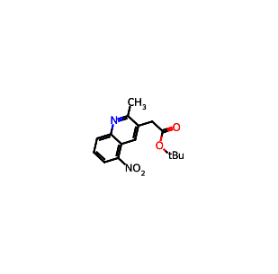 Cc1nc2cccc([N+](=O)[O-])c2cc1CC(=O)OC(C)(C)C